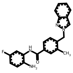 Cc1cc(C(=O)Nc2cc(F)ccc2N)ccc1Cn1cc2ccccc2n1